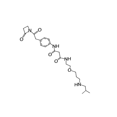 CC(C)CNCCCOCCNC(=O)CC(=O)Nc1ccc(CC(=O)N2CCC2=O)cc1